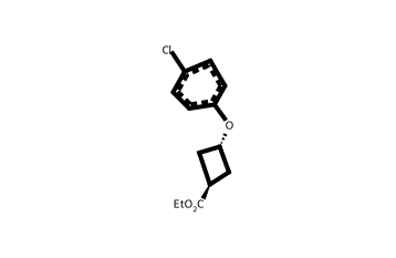 CCOC(=O)[C@H]1C[C@H](Oc2ccc(Cl)cc2)C1